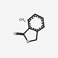 C.O=C1OCc2ccccc21